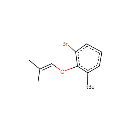 CC(C)=COc1c(Br)cccc1C(C)(C)C